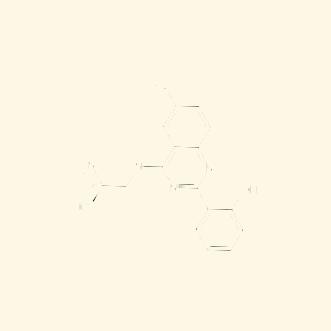 CC(C)[C@@H](N)CNc1nc(-c2ccccc2O)nc2ccc(Cl)cc12